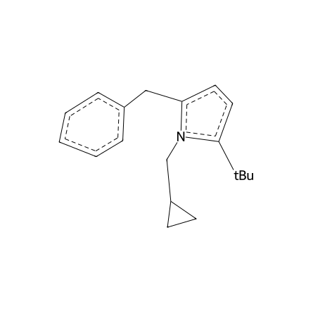 CC(C)(C)c1ccc(Cc2ccccc2)n1CC1CC1